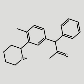 CC(=O)C(c1ccccc1)c1ccc(C)c(C2CCCCN2)c1